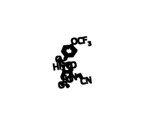 CS(=O)(=O)CC(NS(=O)(=O)c1ccc(OC(F)(F)F)cc1)C(=O)NCC#N